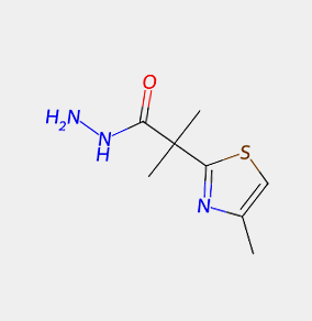 Cc1csc(C(C)(C)C(=O)NN)n1